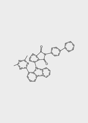 Cc1nc(C)nc(-c2cccc3c4ccccc4n(-c4cccc5c4C(=O)N(c4ccc(-c6ccccc6)cc4)C5=O)c23)n1